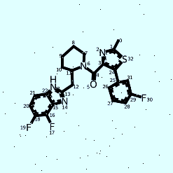 Cc1nc(C(=O)N2CCCCC2Cc2nc3c(F)c(F)ccc3[nH]2)c(-c2cccc(F)c2)s1